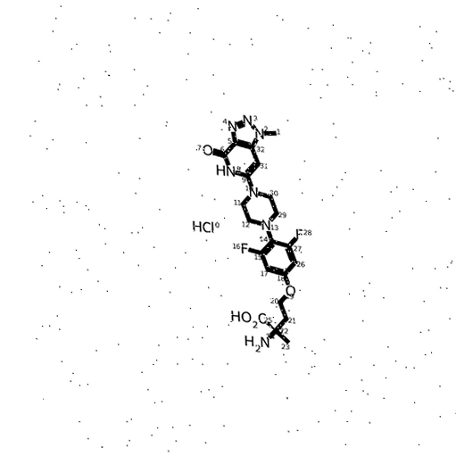 Cl.Cn1nnc2c(=O)[nH]c(N3CCN(c4c(F)cc(OCC[C@](C)(N)C(=O)O)cc4F)CC3)cc21